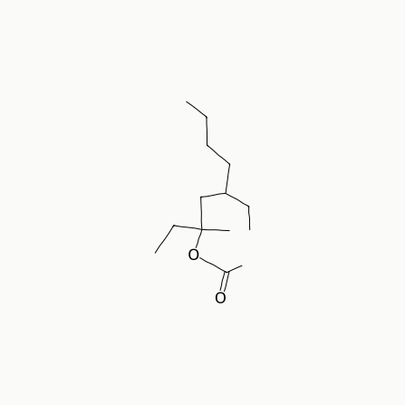 CCCCC(CC)CC(C)(CC)OC(C)=O